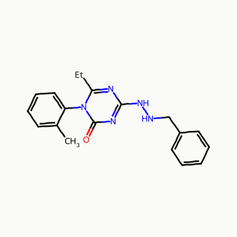 CCc1nc(NNCc2ccccc2)nc(=O)n1-c1ccccc1C